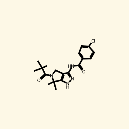 CC(C)(C)C(=O)N1Cc2c(NC(=O)c3ccc(Cl)cc3)n[nH]c2C1(C)C